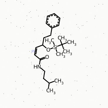 CC(C)CCNC(=O)/C=C\C(CCc1ccccc1)O[Si](C)(C)C(C)(C)C